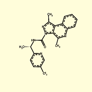 Cc1nn(C(=O)N[C@@H](C)c2ccc(C(F)(F)F)cn2)c2c(C)nc3ccccc3c12